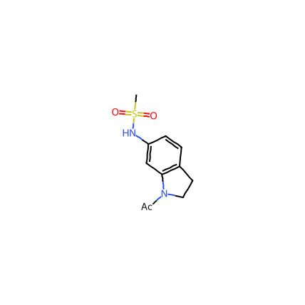 CC(=O)N1CCc2ccc(NS(C)(=O)=O)cc21